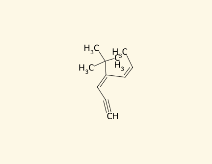 C#C/C=C(\C=C/C)C(C)(C)C